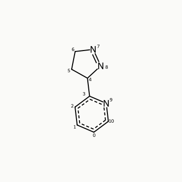 c1ccc(C2CCN=N2)nc1